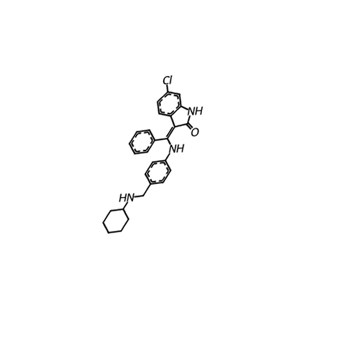 O=C1Nc2cc(Cl)ccc2/C1=C(/Nc1ccc(CNC2CCCCC2)cc1)c1ccccc1